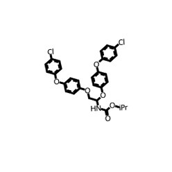 CC(C)OC(=O)NC(COc1ccc(Oc2ccc(Cl)cc2)cc1)Oc1ccc(Oc2ccc(Cl)cc2)cc1